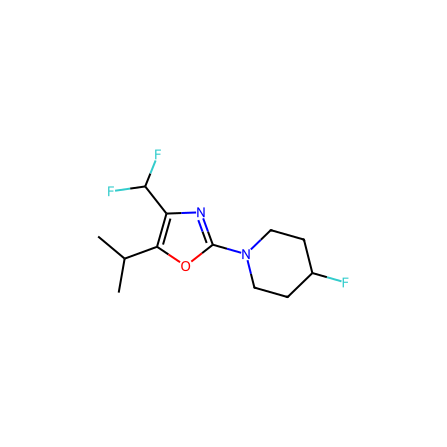 CC(C)c1oc(N2CCC(F)CC2)nc1C(F)F